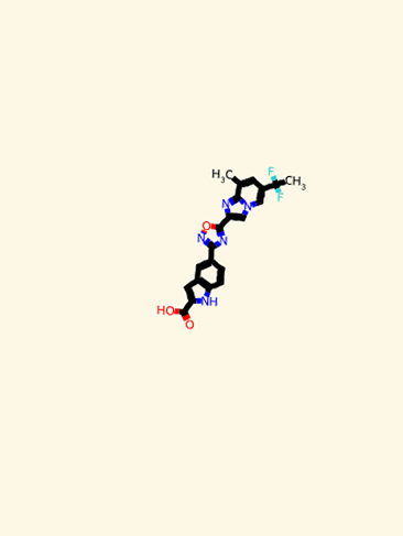 Cc1cc(C(C)(F)F)cn2cc(-c3nc(-c4ccc5[nH]c(C(=O)O)cc5c4)no3)nc12